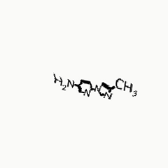 Cc1cn(-c2ccc(N)cn2)cn1